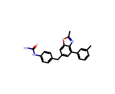 Cc1cccc(-c2cc(Cc3ccc(NC(N)=O)cc3)cc3oc(C)nc23)c1